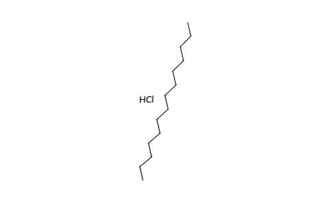 CCCCCCCCCCCCCC.Cl